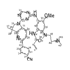 C=CC(=O)Nc1cc(Nc2ncnc(N3CC(C)(C)c4nc(-c5ccc(C#N)cc5)ccc43)n2)c(OC)cc1N(C)CCN(C)C